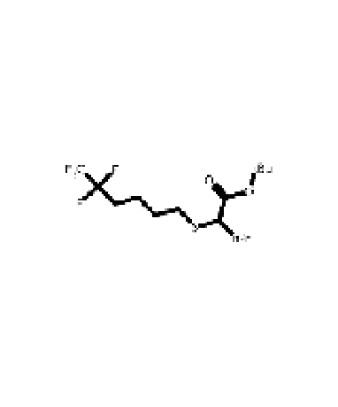 CCCC(SCCCCC(F)(F)C(F)(F)F)C(=O)OC(C)(C)C